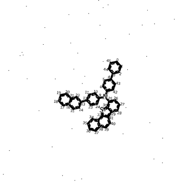 c1ccc(-c2ccc(N(c3ccc(-c4ccc5ccccc5c4)cc3)c3cccc4c3sc3c5ccccc5ccc43)cc2)cc1